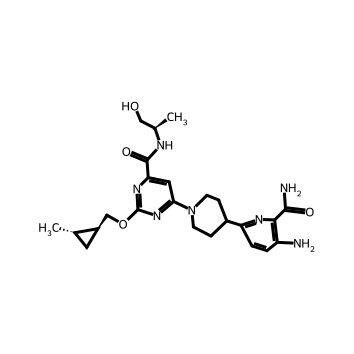 C[C@H](CO)NC(=O)c1cc(N2CCC(c3ccc(N)c(C(N)=O)n3)CC2)nc(OC[C@H]2C[C@@H]2C)n1